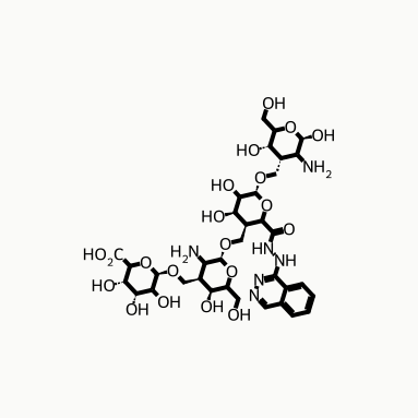 NC1[C@H](OC[C@@H]2C(C(=O)NNc3nncc4ccccc34)O[C@@H](OC[C@H]3C(N)[C@H](O)OC(CO)[C@H]3O)C(O)[C@@H]2O)OC(CO)[C@@H](O)[C@H]1CO[C@@H]1OC(C(=O)O)[C@@H](O)[C@@H](O)C1O